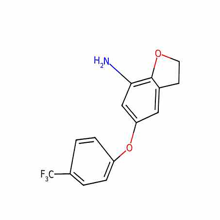 Nc1cc(Oc2ccc(C(F)(F)F)cc2)cc2c1OCC2